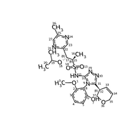 COc1cccc(O)c1-n1c(NS(=O)(=O)[C@H](C)[C@H](OC(C)C)c2cnc(C)cn2)nnc1[C@H]1C=CCOC1